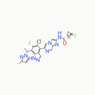 Cc1ccn(C(C)c2c(F)c(Cl)c(-c3cn4cc(NC(=O)[C@@H]5C[C@@H]5F)nc4cn3)c3cn[nH]c23)n1